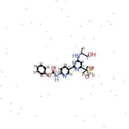 C[C@@H](CO)Nc1cc(C(C)(C)S(C)(=O)=O)nc(-c2ccc(NC(=O)Oc3ccccc3)nc2)n1